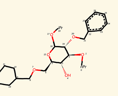 CCCO[C@H]1[C@H](O)[C@@H](COCC2CCCCC2)OC(OC(C)C)[C@@H]1OCc1ccccc1